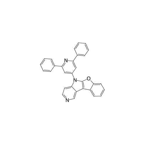 c1ccc(-c2cc(-n3c4ccncc4c4c5ccccc5oc43)cc(-c3ccccc3)n2)cc1